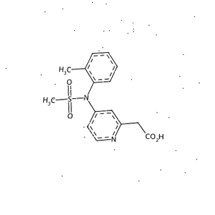 Cc1ccccc1N(c1ccnc(CC(=O)O)c1)S(C)(=O)=O